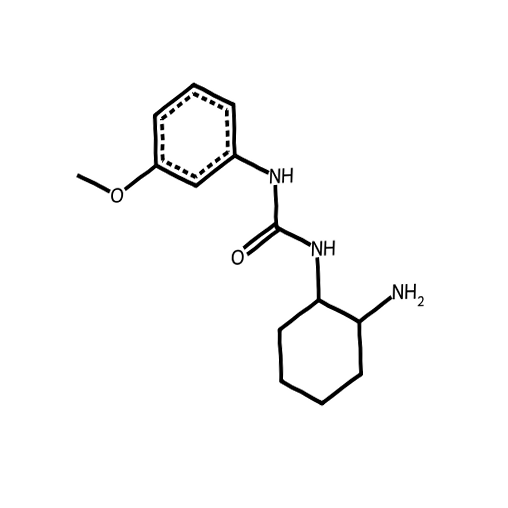 COc1cccc(NC(=O)NC2CCCCC2N)c1